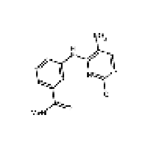 CNC(=O)c1cccc(Nc2nc(Cl)ncc2[N+](=O)[O-])c1